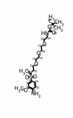 COc1cc(S(=O)(=O)N(C)CCOCCOCCOCCNC(=O)OC(C)(C)C)ccc1N